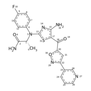 C[C@H](C(N)=O)N(c1ccc(F)cc1)c1nc(N)c(C(=O)c2cc(-c3cccnc3)no2)s1